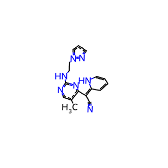 Cc1cnc(NCCn2cccn2)nc1/C(C#N)=C1/C=CC=CN1